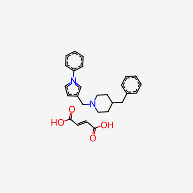 O=C(O)C=CC(=O)O.c1ccc(CC2CCN(Cc3ccn(-c4ccccc4)c3)CC2)cc1